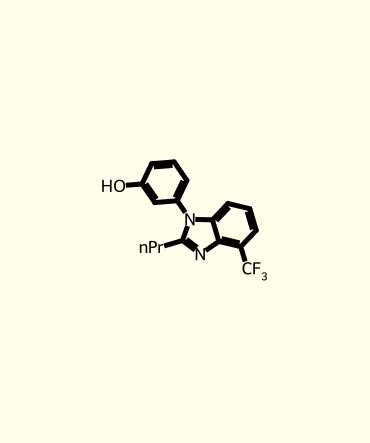 CCCc1nc2c(C(F)(F)F)cccc2n1-c1cccc(O)c1